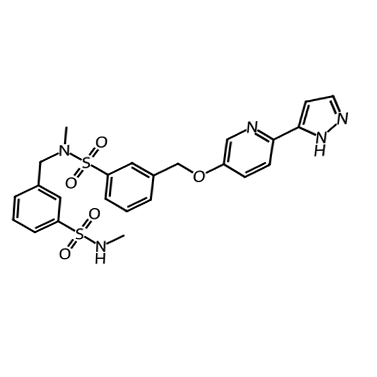 CNS(=O)(=O)c1cccc(CN(C)S(=O)(=O)c2cccc(COc3ccc(-c4ccn[nH]4)nc3)c2)c1